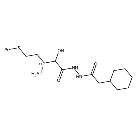 CC(C)SCC[C@@H]([AsH2])C(O)C(=O)NNC(=O)CC1CCCCC1